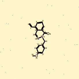 C=Cc1cccc2c(=O)n(Cc3ccc(OC)cc3)ncc12